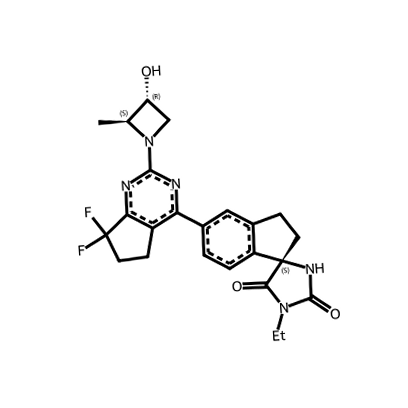 CCN1C(=O)N[C@]2(CCc3cc(-c4nc(N5C[C@@H](O)[C@@H]5C)nc5c4CCC5(F)F)ccc32)C1=O